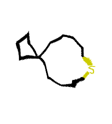 C1CC2(CCS1)CC2